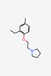 CCc1cc(C)ccc1OCCN1CCCC1